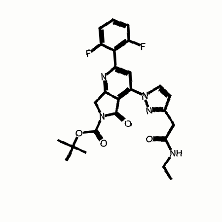 CCNC(=O)Cc1ccn(-c2cc(-c3c(F)cccc3F)nc3c2C(=O)N(C(=O)OC(C)(C)C)C3)n1